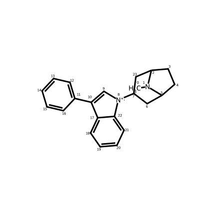 CN1C2CCC1CC([N+]1C=C(c3ccccc3)c3ccccc31)C2